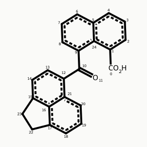 O=C(O)c1cccc2cccc(C(=O)c3ccc4c5c(cccc35)CC4)c12